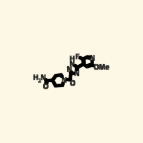 COc1cc(-c2nc(C(=O)N3CCC(C(N)=O)CC3)n[nH]2)c(F)cn1